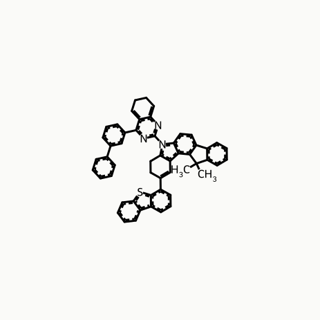 CC1(C)c2ccccc2-c2ccc3c(c4c(n3-c3nc(-c5cccc(-c6ccccc6)c5)c5c(n3)=CCCC=5)CCC(c3cccc5c3sc3ccccc35)=C4)c21